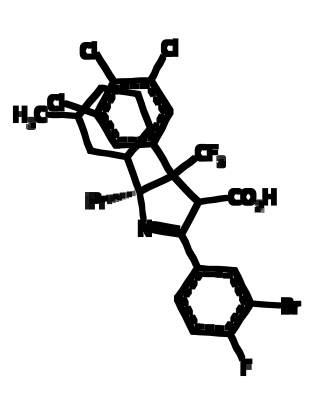 CC1CCCC([C@]2(C(C)C)N=C(c3ccc(F)c(Br)c3)C(C(=O)O)C2(c2cc(Cl)c(Cl)c(Cl)c2)C(F)(F)F)C1